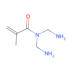 C=C(C)C(=O)N(CN)CN